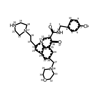 O=C(NCc1ccc(Cl)cc1)c1cn2c(CCN3CCNCC3)cc3cc(CN4CCOCC4)cc(c1=O)c32